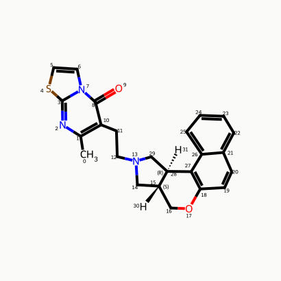 Cc1nc2sccn2c(=O)c1CCN1C[C@H]2COc3ccc4ccccc4c3[C@@H]2C1